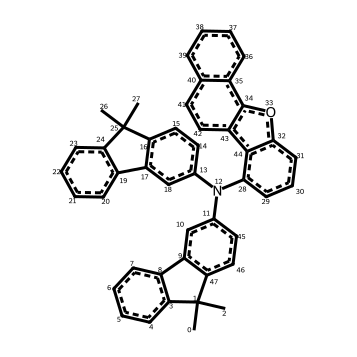 CC1(C)c2ccccc2-c2cc(N(c3ccc4c(c3)-c3ccccc3C4(C)C)c3cccc4oc5c6ccccc6ccc5c34)ccc21